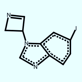 Ic1ccc2ncn(C3C=NC3)c2c1